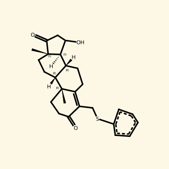 C[C@]12CCC(=O)C(CSc3ccccc3)=C1CC[C@@H]1[C@H]2CC[C@]2(C)C(=O)CC(O)[C@@H]12